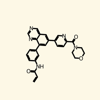 C=CC(=O)Nc1cccc(-c2cc(-c3ccc(C(=O)N4CCOCC4)nc3)cc3cncnc23)c1